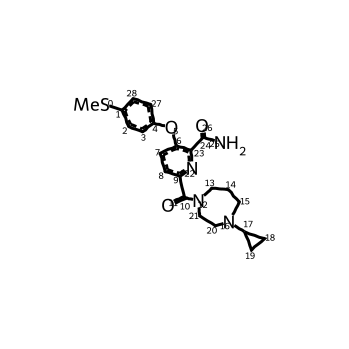 CSc1ccc(Oc2ccc(C(=O)N3CCCN(C4CC4)CC3)nc2C(N)=O)cc1